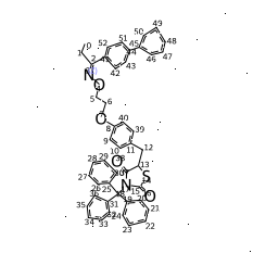 CC/C(=N/OCCOc1ccc(CC2SC(=O)N(C(c3ccccc3)(c3ccccc3)c3ccccc3)C2=O)cc1)c1ccc(-c2ccccc2)cc1